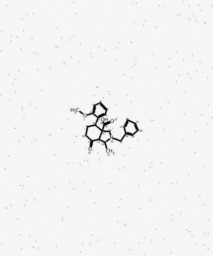 COc1ccccc1C1CCC(=O)C2C(C)N(Cc3ccccc3)CC12C(=O)O